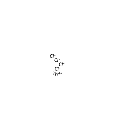 [Cl-].[Cl-].[Cl-].[Cl-].[Th+4]